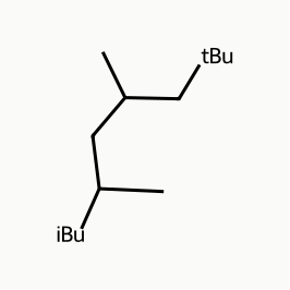 CCC(C)C(C)CC(C)CC(C)(C)C